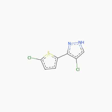 Clc1ccc(-c2n[nH]cc2Cl)s1